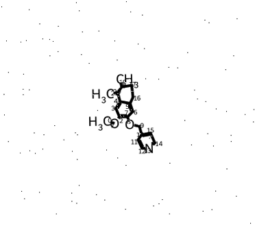 COc1cc2c(cc1OCc1ccncc1)CCC(C)C2C